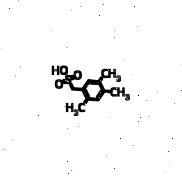 Cc1cc(C)c(CS(=O)(=O)O)cc1C